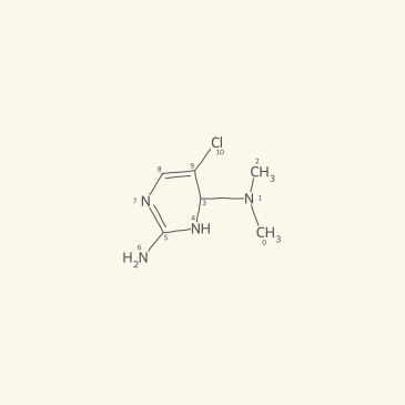 CN(C)C1NC(N)=NC=C1Cl